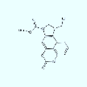 CC(C)(C)OC(=O)N1CC(CCl)c2c1cc1c3c(cccc23)NC(=S)O1